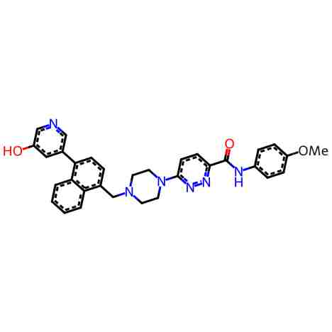 COc1ccc(NC(=O)c2ccc(N3CCN(Cc4ccc(-c5cncc(O)c5)c5ccccc45)CC3)nn2)cc1